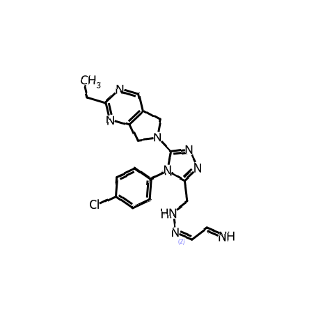 CCc1ncc2c(n1)CN(c1nnc(CN/N=C\C=N)n1-c1ccc(Cl)cc1)C2